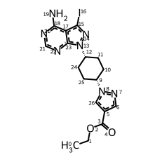 CCOC(=O)c1cnn([C@H]2CC[C@@H](n3nc(I)c4c(N)ncnc43)CC2)c1